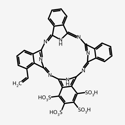 C=Cc1cccc2c1-c1nc-2nc2[nH]c(nc3nc(nc4[nH]c(n1)c1c(S(=O)(=O)O)c(S(=O)(=O)O)c(S(=O)(=O)O)c(S(=O)(=O)O)c41)-c1ccccc1-3)c1ccccc21